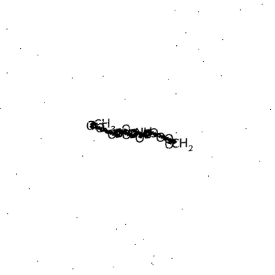 C=CC(=O)OCCOCCOc1ccc(C(=O)Nc2ccc(OC(=O)c3ccc(OCCCCOCC4(C)COC4)cc3)cc2)cc1